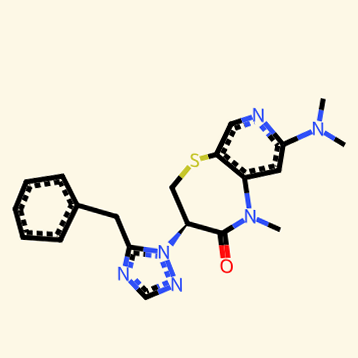 CN(C)c1cc2c(cn1)SC[C@H](n1ncnc1Cc1ccccc1)C(=O)N2C